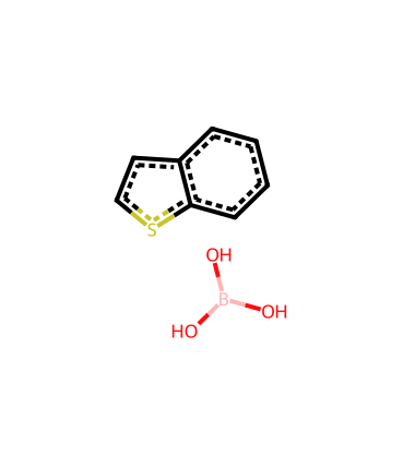 OB(O)O.c1ccc2sccc2c1